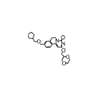 O=c1nc(OCC2COCCO2)cc2n1CCc1cc(COCC3CCCC3)ccc1-2